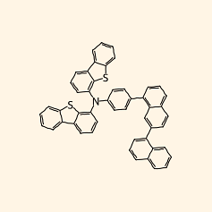 c1ccc2c(-c3ccc4cccc(-c5ccc(N(c6cccc7c6sc6ccccc67)c6cccc7c6sc6ccccc67)cc5)c4c3)cccc2c1